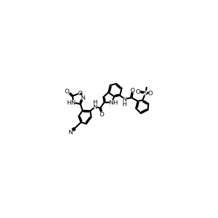 CS(=O)(=O)c1ccccc1C(=O)Nc1cccc2cc(C(=O)Nc3ccc(C#N)cc3-c3noc(=O)[nH]3)[nH]c12